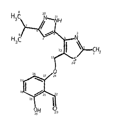 Cc1nc(-c2cc(C(C)C)n[nH]2)c(COc2cccc(O)c2C=O)s1